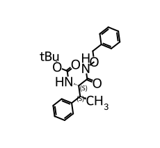 C[C@@H](c1ccccc1)[C@H](NC(=O)OC(C)(C)C)C(=O)NOCc1ccccc1